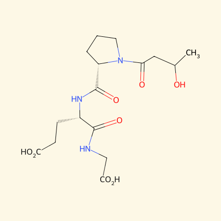 CC(O)CC(=O)N1CCC[C@H]1C(=O)N[C@@H](CCC(=O)O)C(=O)NCC(=O)O